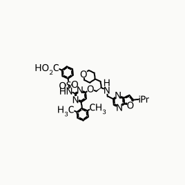 Cc1cccc(C)c1-c1cc(OC[C@@H](CC2CCOCC2)NCc2cnc3oc(C(C)C)cc3n2)nc(NS(=O)(=O)c2cccc(C(=O)O)c2)n1